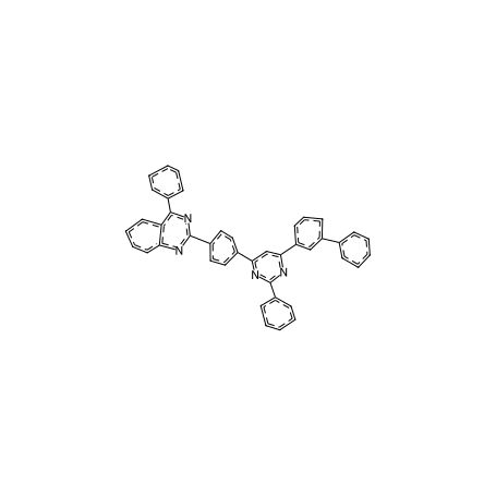 c1ccc(-c2cccc(-c3cc(-c4ccc(-c5nc(-c6ccccc6)c6ccccc6n5)cc4)nc(-c4ccccc4)n3)c2)cc1